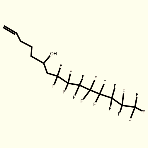 C=CCCCC(O)CC(F)(F)C(F)(F)C(F)(F)C(F)(F)C(F)(F)C(F)(F)C(F)(F)C(F)(F)F